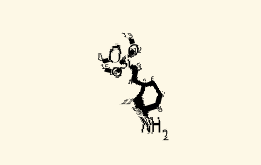 CO[Si](CCC1CCCC(N)C1)(OC)OC